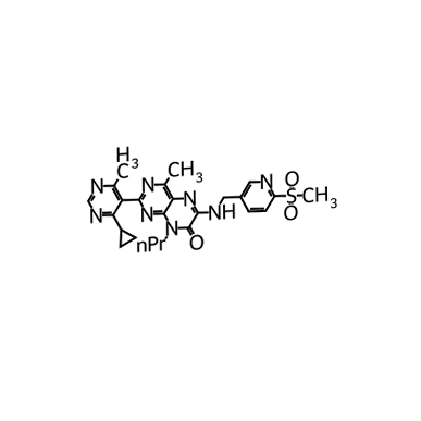 CCCn1c(=O)c(NCc2ccc(S(C)(=O)=O)nc2)nc2c(C)nc(-c3c(C)ncnc3C3CC3)nc21